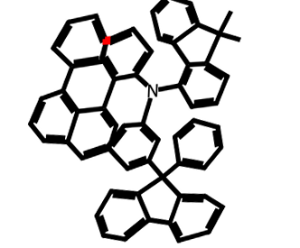 CC1(C)c2ccccc2-c2c(N(c3cccc(C4(c5ccccc5)c5ccccc5-c5ccccc54)c3)c3ccccc3-c3cccc4cccc(-c5ccccc5)c34)cccc21